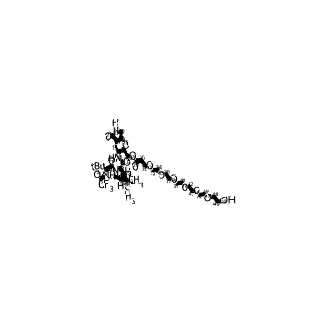 CC(C)(C)[C@H](NC(=O)C(F)(F)F)C(=O)N1C[C@H]2[C@@H]([C@H]1C(=O)N[C@@H](C[C@@H]1CCNC1=O)C(=O)COC(=O)CCOCCOCCOCCOCCOCCOCCO)C2(C)C